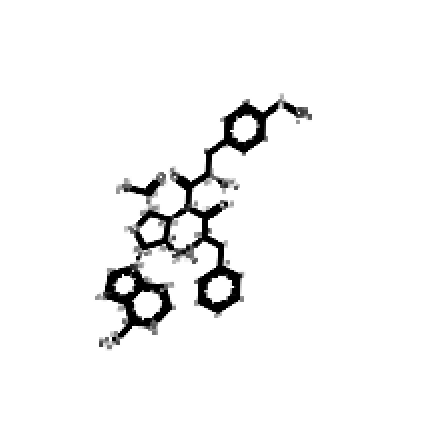 COc1ccc(C[C@H](N)C(=O)N(C(=O)[C@H](N)Cc2ccccc2)[C@H]2[C@@H](O)[C@H](n3cnc4c(N)ncnc43)O[C@@H]2C(=O)O)cc1